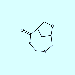 O=C1SCSCC2CC1CO2